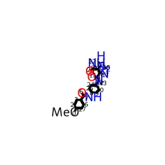 COc1ccc(C(=O)Nc2ccc(N(C)C(=O)c3nc[nH]c3C(N)=O)cc2)cc1